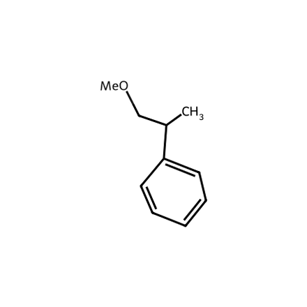 COCC(C)c1ccccc1